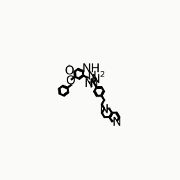 COc1cc(N)c(-c2nnn(-c3ccc(CCN4CCc5cnccc5C4)cc3)n2)cc1OCc1ccccc1